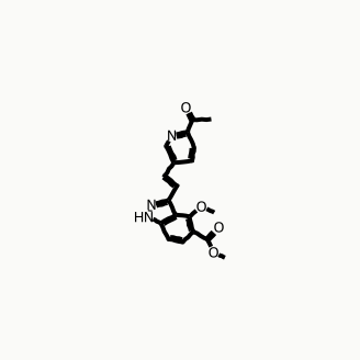 COC(=O)c1ccc2[nH]nc(C=Cc3ccc(C(C)=O)nc3)c2c1OC